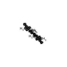 COc1cccc2c(-c3ccc4c(c3)C(C)(C)c3cc(-c5ccc6c(c5)C(C)(C)c5cc(-c7c8ccccc8c(-c8ccc(-c9ccccc9)cc8)c8c(OC)cccc78)ccc5-6)ccc3-4)c3ccccc3c(-c3ccc(-c4ccccc4)cc3)c12